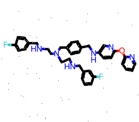 Fc1ccc(CNCCN(CCNCc2cccc(F)c2)Cc2ccc(CNc3ccc(Oc4ccccn4)nc3)cc2)cc1